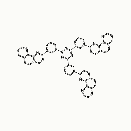 c1cc(-c2ccc3ccc4cccnc4c3n2)cc(-c2nc(-c3cccc(-c4ccc5ccc6cccnc6c5n4)c3)nc(-c3cccc(-c4ccc5ccc6cccnc6c5n4)c3)n2)c1